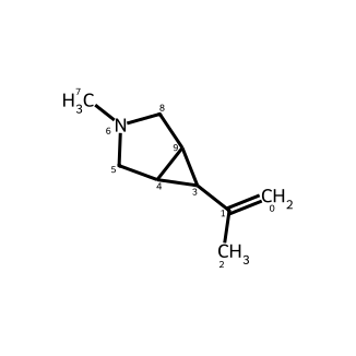 C=C(C)C1C2CN(C)CC21